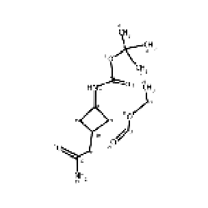 CC(C)(C)OC(=O)NC1CC(CC(N)=O)C1.CCOC=O